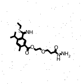 CCSC(=N)c1cc(C(=O)OCCOCCC(=O)NN)c(C)cc1C(C)C